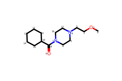 COCCN1CCN(C(=O)C2CCCCC2)CC1